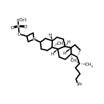 CCCCCCCCS(=O)(=O)OC1CN(C2CC[C@@]3(C)[C@@H](CC[C@@H]4[C@@H]3CC[C@]3(C)[C@@H]([C@H](C)CCCC(C)C)CC[C@@H]43)C2)C1